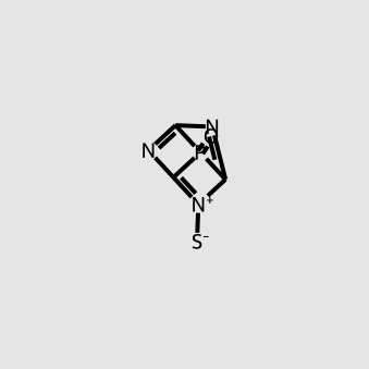 O=P12C3=NC1=[N+]([S-])C2=N3